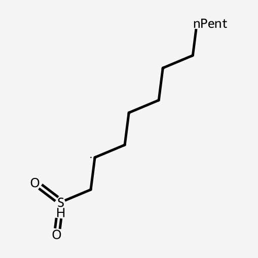 CCCCCCCCCC[CH]C[SH](=O)=O